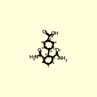 NC(=O)c1cccc(C(N)=O)c1-c1ccc(C(=O)O)cc1